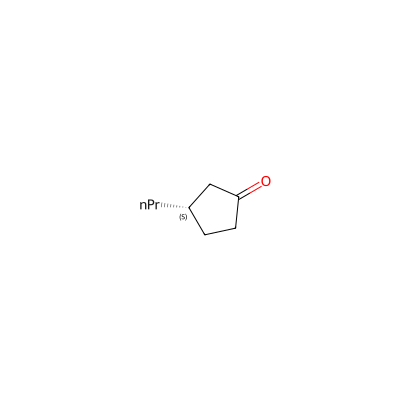 CCC[C@H]1CCC(=O)C1